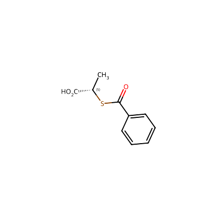 C[C@H](SC(=O)c1ccccc1)C(=O)O